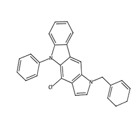 Clc1c2ccn(CC3=CCCC=C3)c2cc2c3ccccc3n(-c3ccccc3)c12